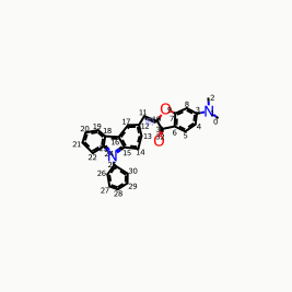 CN(C)c1ccc2c(c1)O/C(=C/c1ccc3c(c1)c1ccccc1n3-c1ccccc1)C2=O